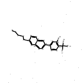 CCCCCc1ccc2cc(-c3ccc(C(F)(F)F)c(F)c3)ccc2c1